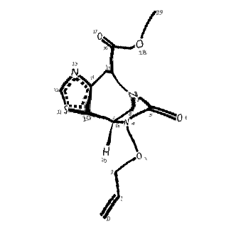 C=CCON1C(=O)N2C[C@H]1c1scnc1C2C(=O)OC